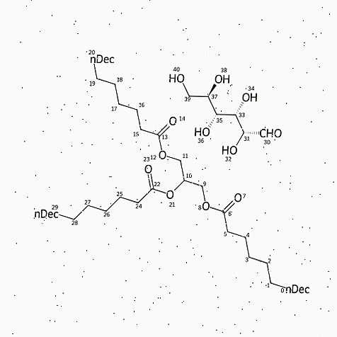 CCCCCCCCCCCCCCCC(=O)OCC(COC(=O)CCCCCCCCCCCCCCC)OC(=O)CCCCCCCCCCCCCCC.O=C[C@H](O)[C@@H](O)[C@H](O)[C@H](O)CO